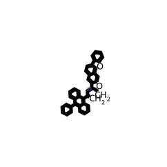 C=C(/C=c1\c(=C)oc2cc3c(ccc4c5ccccc5oc34)cc12)c1c2ccccc2c(-c2ccccc2)c2ccccc12